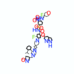 COc1ccc(CN2CCN(C3CC4(CCN(c5cc(Oc6cnc7[nH]ccc7c6)c(C(=O)NS(=O)(=O)c6ccc(NCC7(F)CCOCC7)c([N+](=O)[O-])c6)cc5F)CC4)C3)C(c3ccccc3C(C)C)C2)cn1